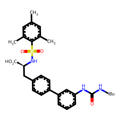 CCC(C)NC(=O)Nc1cccc(-c2ccc(C[C@H](NS(=O)(=O)c3c(C)cc(C)cc3C)C(=O)O)cc2)c1